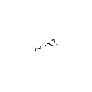 CCCCCCC(CCCC)C(=O)NS(=O)(=O)c1cn(C)cn1